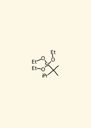 CCO[Si](OCC)(OCC)C(C)(C)C(C)C